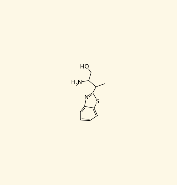 CC(c1nc2ccccc2s1)C(N)CO